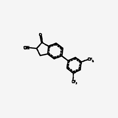 O=NC1Cc2cc(-c3cc(C(F)(F)F)cc(C(F)(F)F)c3)ccc2C1=O